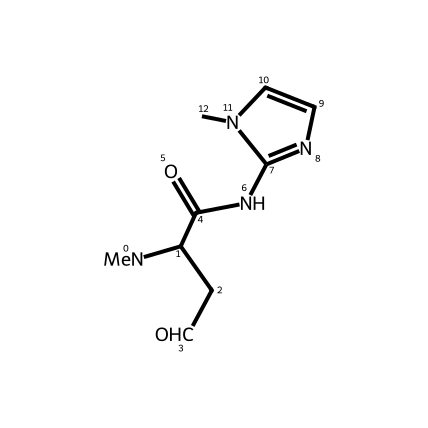 CNC(CC=O)C(=O)Nc1nccn1C